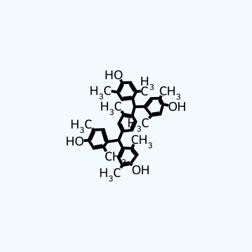 Cc1cc(C(c2ccc(C(c3cc(C)c(O)cc3C)c3cc(C)c(O)cc3C)c(C)c2)c2cc(C)c(O)cc2C)c(C)cc1O